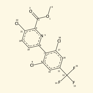 COC(=O)c1nc(-c2c(Cl)cc(C(F)(F)F)cc2Cl)ccc1Cl